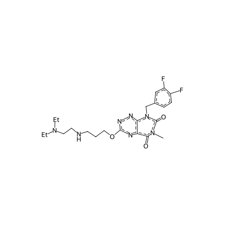 CCN(CC)CCNCCCOc1nnc2c(n1)c(=O)n(C)c(=O)n2Cc1ccc(F)c(F)c1